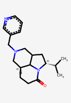 CC(C)[C@H]1CC2CN(Cc3cccnc3)C[C@H]3CCC(=O)N1C23